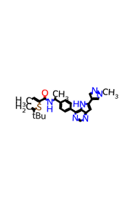 C=C(S/C(=C\C)C(=O)NC(C)c1ccc(-c2ncnc3cc(-c4cnn(C)c4)[nH]c23)cc1)C(C)(C)C